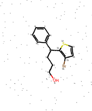 OCCCC(c1ccccc1)c1sccc1Br